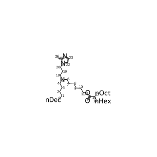 CCCCCCCCCCCCCCN(CCCCCCOC(=O)C(CCCCCC)CCCCCCCC)CCCn1ccnc1C